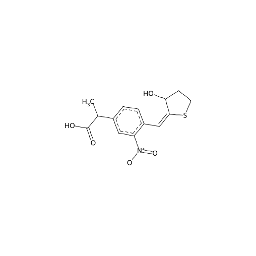 CC(C(=O)O)c1ccc(C=C2SCCC2O)c([N+](=O)[O-])c1